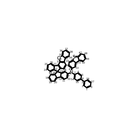 c1ccc(-c2ccc(N(c3ccc4c(c3)C3(c5ccccc5-4)c4ccccc4-c4c3ccc3c4oc4ccccc43)c3ccc4sc5ccccc5c4c3)cc2)cc1